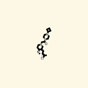 C/N=C1/CCN(CC(=O)N2CCN(C3CCC3)CC2)C/C1=C/C=C(\C)Cl